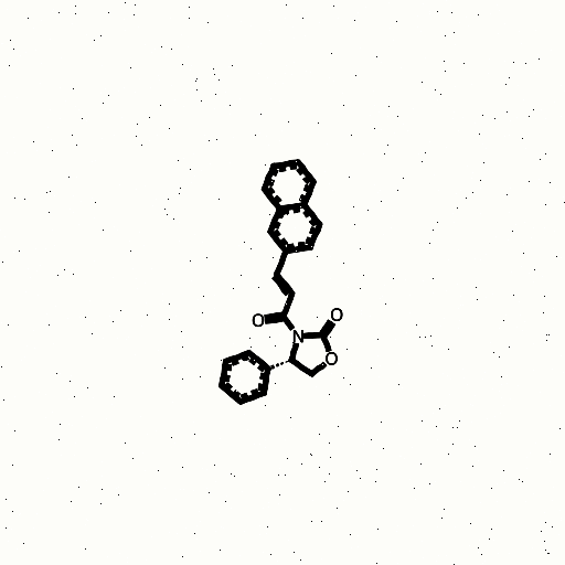 O=C(/C=C/c1ccc2ccccc2c1)N1C(=O)OC[C@@H]1c1ccccc1